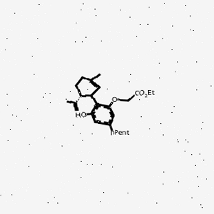 C=C(C)[C@@H]1CCC(C)=CC1c1c(O)cc(CCCCC)cc1OCC(=O)OCC